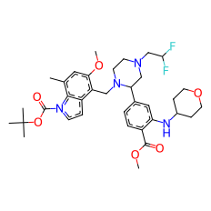 COC(=O)c1ccc(C2CN(CC(F)F)CCN2Cc2c(OC)cc(C)c3c2ccn3C(=O)OC(C)(C)C)cc1NC1CCOCC1